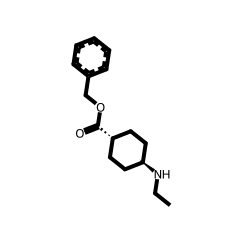 CCN[C@H]1CC[C@H](C(=O)OCc2ccccc2)CC1